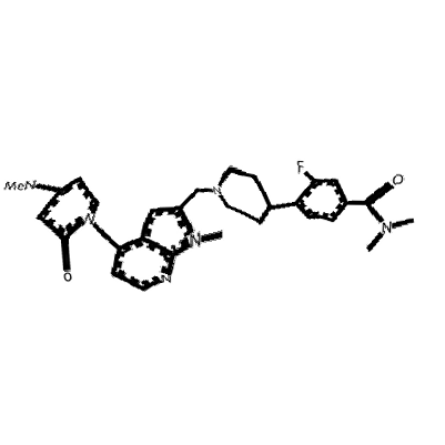 CNc1ccn(-c2ccnc3c2cc(CN2CCC(c4ccc(C(=O)N(C)C)cc4F)CC2)n3C)c(=O)c1